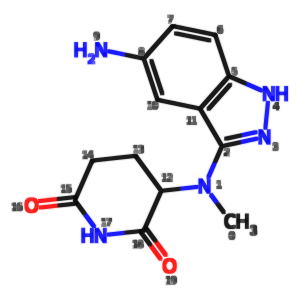 CN(c1n[nH]c2ccc(N)cc12)C1CCC(=O)NC1=O